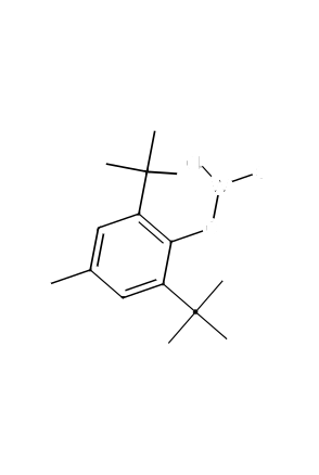 Cc1cc(C(C)(C)C)c([O][W]([Cl])[Cl])c(C(C)(C)C)c1